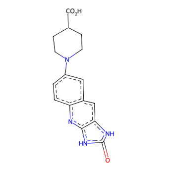 O=C(O)C1CCN(c2ccc3nc4[nH]c(=O)[nH]c4cc3c2)CC1